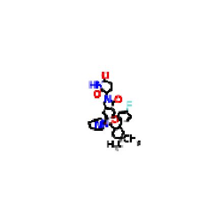 CC1(C)CCC(C(=O)N2CC3CCC(C2)N3Cc2ccc3c(c2)CN(C2CCC(=O)NC2=O)C3=O)=C(c2ccc(F)cc2)C1